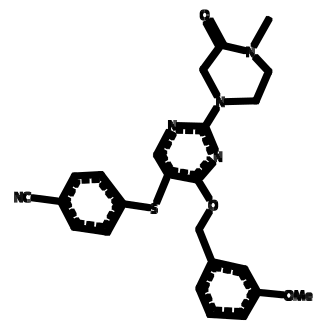 COc1cccc(COc2nc(N3CCN(C)C(=O)C3)ncc2Sc2ccc(C#N)cc2)c1